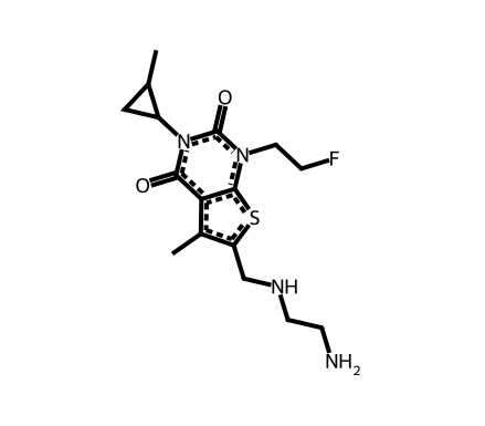 Cc1c(CNCCN)sc2c1c(=O)n(C1CC1C)c(=O)n2CCF